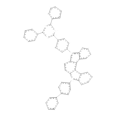 c1ccc(-c2ccc(-n3c4ccccc4c4c5c6ccccc6n(-c6ccc(-c7nc(-c8ccccc8)nc(-c8ccccc8)n7)cc6)c5ccc43)cc2)cc1